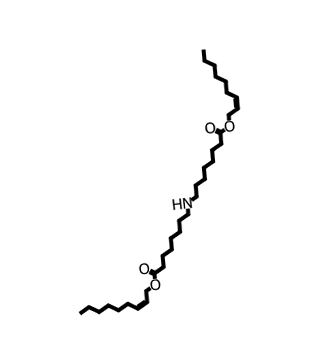 CCCCCC/C=C\COC(=O)CCCCCCCNCCCCCCCC(=O)OC/C=C\CCCCCC